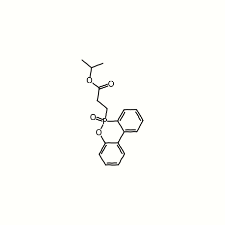 CC(C)OC(=O)CCP1(=O)Oc2ccccc2-c2ccccc21